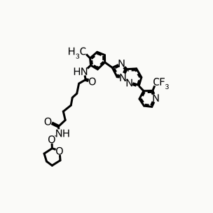 Cc1ccc(-c2cn3nc(-c4cccnc4C(F)(F)F)ccc3n2)cc1NC(=O)CCCCCCC(=O)NOC1CCCCO1